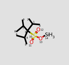 CC(C)C(C(C)C)(C(C)C)S(=O)(=O)O[SiH3]